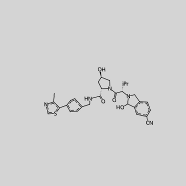 Cc1ncsc1-c1ccc(CNC(=O)[C@@H]2C[C@@H](O)CN2C(=O)[C@H](C(C)C)N2Cc3ccc(C#N)cc3C2O)cc1